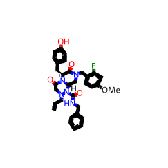 C=CCN1CC(=O)N2[C@@H](Cc3ccc(O)cc3)C(=O)N(Cc3ccc(OC)cc3F)C[C@@H]2N1C(=O)NCc1ccccc1